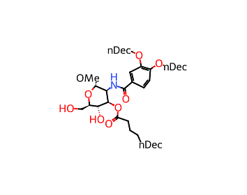 CCCCCCCCCCCCCC(=O)O[C@H]1[C@H](O)[C@@H](CO)O[C@H](OC)[C@H]1NC(=O)c1ccc(OCCCCCCCCCC)c(OCCCCCCCCCC)c1